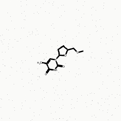 Cc1cn(C2CCC(COI)O2)c(=O)[nH]c1=O